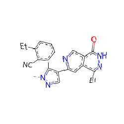 CCc1cccc(-c2c(-c3cc4c(CC)n[nH]c(=O)c4cn3)cnn2C)c1C#N